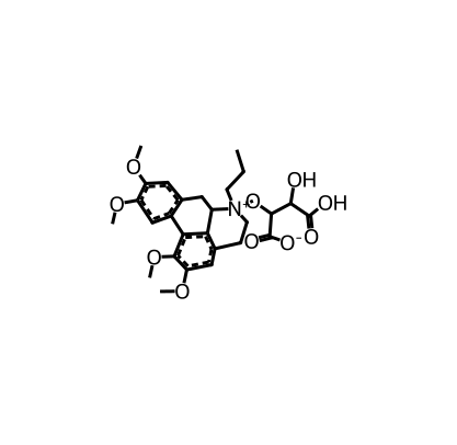 CCC[N+]1(OC(C(=O)[O-])C(O)C(=O)O)CCc2cc(OC)c(OC)c3c2C1Cc1cc(OC)c(OC)cc1-3